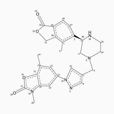 Cc1c([C@@H]2CN(Cc3cnn(-c4cc(C)c5oc(=O)n(C)c5c4)c3)CCN2)ccc2c1COC2=O